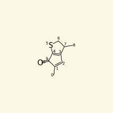 CC1=CC2=C(SCC2C)C1=O